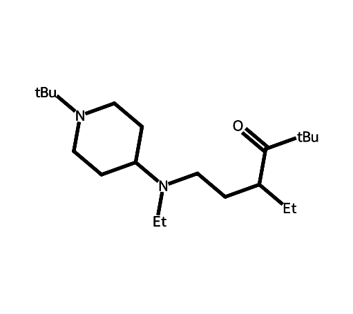 CCC(CCN(CC)C1CCN(C(C)(C)C)CC1)C(=O)C(C)(C)C